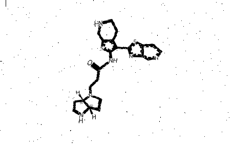 O=C(CCN1CC[C@@H]2NCC[C@@H]21)Nc1sc2c(c1-c1nc3cnccc3s1)CCNC2